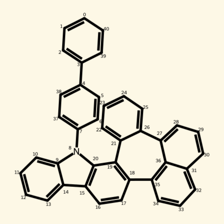 c1ccc(-c2ccc(-n3c4ccccc4c4ccc5c(c43)-c3ccccc3-c3cccc4cccc-5c34)cc2)cc1